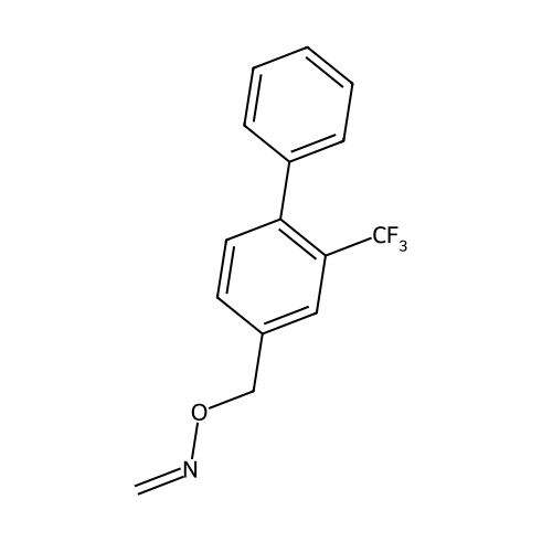 C=NOCc1ccc(-c2ccccc2)c(C(F)(F)F)c1